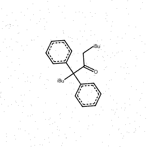 CCC(C)CC(=O)C(c1ccccc1)(c1ccccc1)C(C)CC